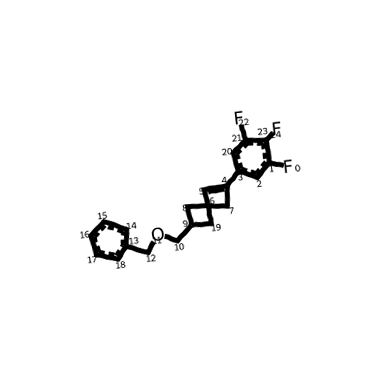 Fc1cc(C2=CC3(C2)CC(COCc2ccccc2)C3)cc(F)c1F